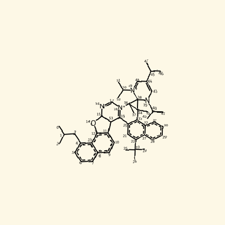 CC(C)Cc1cccc2ccc3c(c12)OC1N=C[N+]2=C(c4cc(C(C)(C)C)c5ccccc5c4C4(C)C2(C)C42N(C(C)C)C=C(C(C)C)C=[N+]2C(C)C)C31